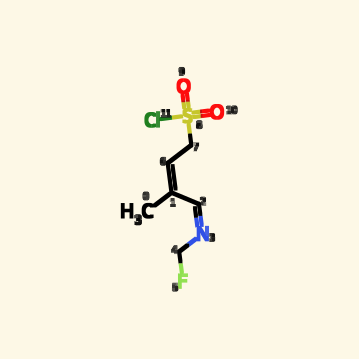 CC(/C=N\CF)=C/CS(=O)(=O)Cl